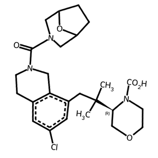 CC(C)(Cc1cc(Cl)cc2c1CN(C(=O)N1CC3CCC(C1)O3)CC2)[C@@H]1COCCN1C(=O)O